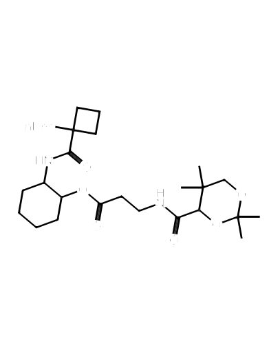 CCCCCCCCCCC1(C(=O)NC2CCCCC2OC(=O)CCNC(=O)C2OC(C)(C)OCC2(C)C)CCC1